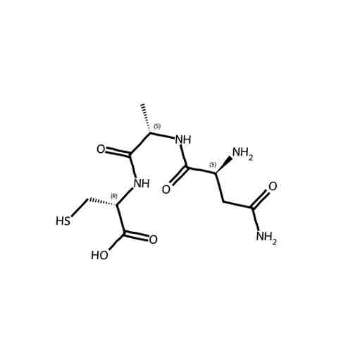 C[C@H](NC(=O)[C@@H](N)CC(N)=O)C(=O)N[C@@H](CS)C(=O)O